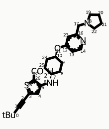 CC(C)(C)C#Cc1cc(N[C@H]2CC[C@H](Oc3ccnc(CN4CCCC4)c3)CC2)c(C(=O)O)s1